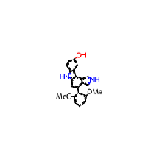 COc1cccc(OC)c1-c1cc2[nH]c3ccc(O)cc3c2c2c[nH]cc12